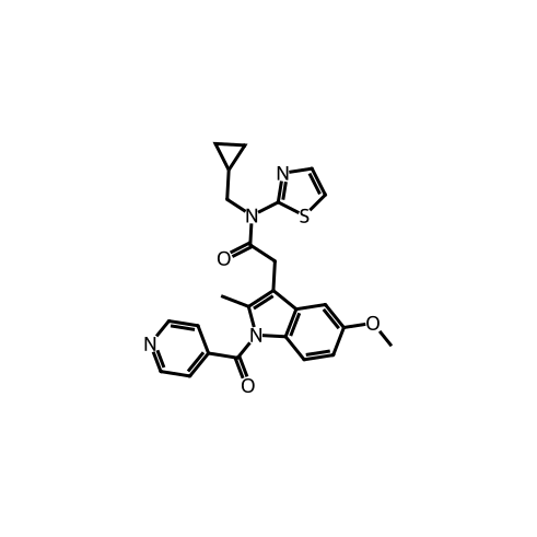 COc1ccc2c(c1)c(CC(=O)N(CC1CC1)c1nccs1)c(C)n2C(=O)c1ccncc1